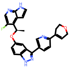 C[C@@H](Oc1ccc2[nH]nc(-c3ccc(C4=CCOCC4)nc3)c2c1)c1c(F)cnc2[nH]ccc12